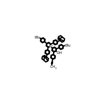 CC#Cc1ccc(-c2cc(-[n+]3c(-c4ccc(C56CC7CC(CC(C7)C5)C6)cc4)cc(-c4ccc(C(C)(C)C)cc4)cc3-c3ccc(C45CC6CC(CC(C6)C4)C5)cc3)cc(-c3ccc(C(C)(C)C)cc3)c2O)cc1